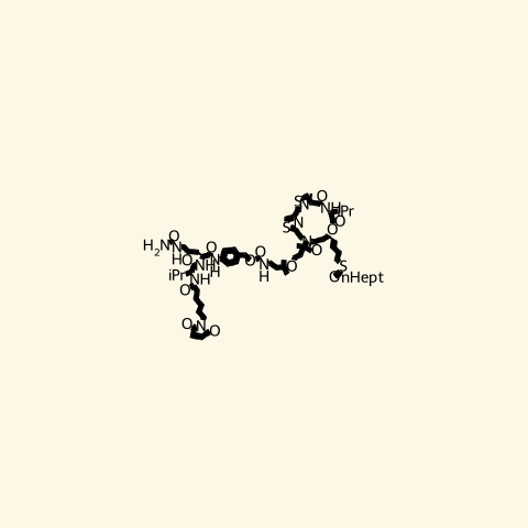 CCCCCCCC(=O)SCC/C=C/[C@H]1CC(=O)N(C(C)(C)CCOC(C)(C)CCNC(=O)OCc2ccc(NC(=O)[C@H](CCCNC(N)=O)NC(=O)C(NC(=O)CCCCCN3C(=O)C=CC3=O)C(C)C)cc2)Cc2nc(cs2)C2=N[C@](C)(CS2)C(=O)NC(C(C)C)C(=O)O1